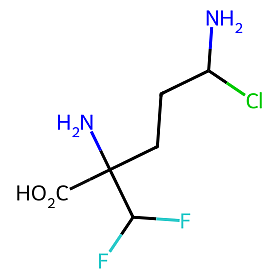 NC(Cl)CCC(N)(C(=O)O)C(F)F